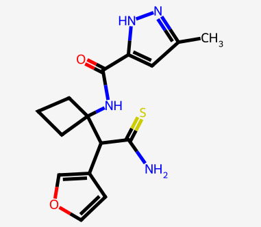 Cc1cc(C(=O)NC2(C(C(N)=S)c3ccoc3)CCC2)[nH]n1